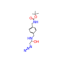 CC(C)(C)OC(=O)NCc1ccc(CNC(O)CN=[N+]=[N-])cc1